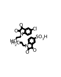 C=CCN1C(=O)C(=O)c2cc(S(=O)(=O)O)ccc21.O=C1C(=O)N(CCO)c2ccc(Cl)cc21